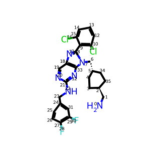 NC[C@H]1CC[C@H](Cn2c(-c3c(Cl)cccc3Cl)nc3cnc(NCc4ccc(F)c(F)c4)nc32)CC1